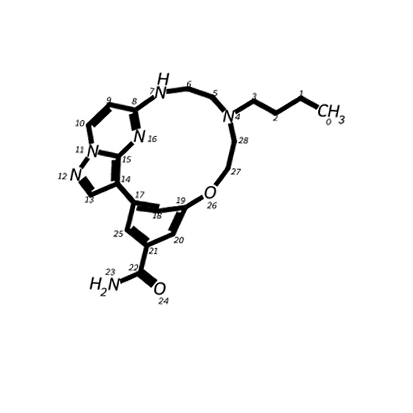 CCCCN1CCNc2ccn3ncc(c3n2)-c2cc(cc(C(N)=O)c2)OCC1